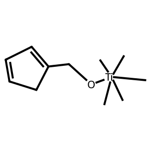 [CH3][Ti]([CH3])([CH3])([CH3])([CH3])[O]CC1=CC=CC1